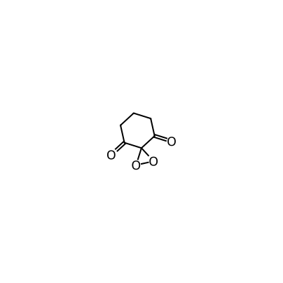 O=C1CCCC(=O)C12OO2